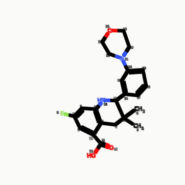 CC1(C)Cc2c(cc(F)cc2C(=O)O)NC1c1cccc(N2CCOCC2)c1